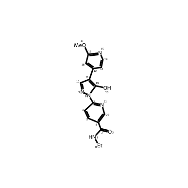 CCNC(=O)c1ccc(-n2ncc(-c3ccnc(OC)c3)c2O)nc1